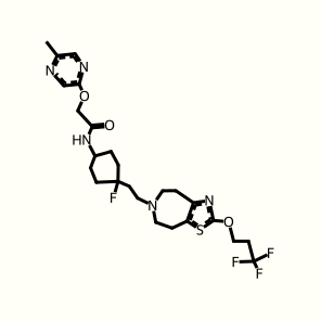 Cc1cnc(OCC(=O)NC2CCC(F)(CCN3CCc4nc(OCCC(F)(F)F)sc4CC3)CC2)cn1